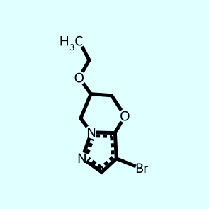 CCOC1COc2c(Br)cnn2C1